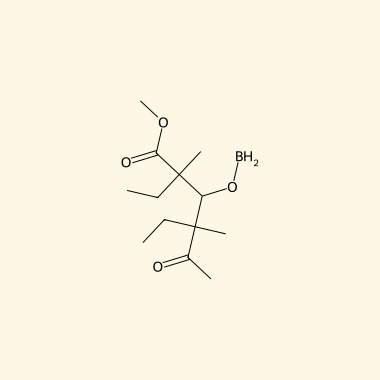 BOC(C(C)(CC)C(C)=O)C(C)(CC)C(=O)OC